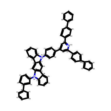 c1ccc(-c2ccc(-c3cc(-c4ccc(-n5c6ccccc6c6cc7c(cc65)c5ccccc5n7-c5cccc(-c6ccccc6)c5)cc4)cc(-c4ccc(-c5ccccc5)cc4)n3)cc2)cc1